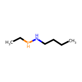 CCCCNPCC